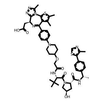 Cc1ncsc1-c1ccc([C@H](C)NC(=O)[C@@H]2C[C@@H](O)CN2C(=O)[C@@H](NC(=O)COC2CCN(c3ccc(C4=N[C@@H](CC(=O)O)c5nnc(C)n5-c5sc(C)c(C)c54)cc3)CC2)C(C)(C)C)cc1